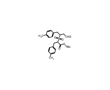 Cc1ccc(CN(CC=O)S(=O)(=O)N(Cc2ccc(C)cc2)C(=O)OC(C)(C)C)cc1